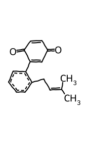 CC(C)=CCc1ccccc1C1=CC(=O)C=CC1=O